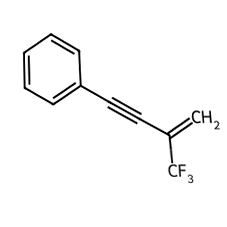 C=C(C#Cc1ccccc1)C(F)(F)F